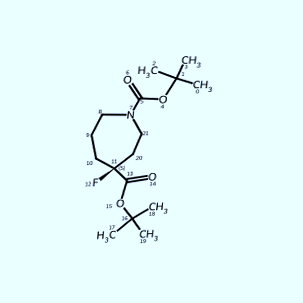 CC(C)(C)OC(=O)N1CCC[C@@](F)(C(=O)OC(C)(C)C)CC1